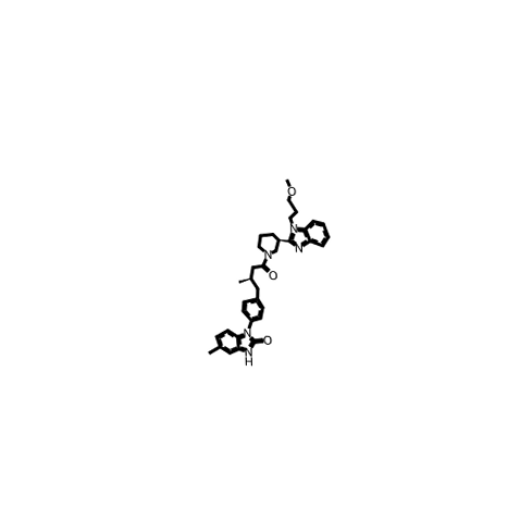 COCCCn1c([C@@H]2CCCN(C(=O)C[C@H](C)Cc3ccc(-n4c(=O)[nH]c5cc(C)ccc54)cc3)C2)nc2ccccc21